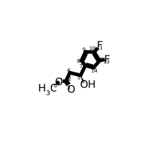 COC(=O)C[C@@H](O)c1ccc(F)c(F)c1